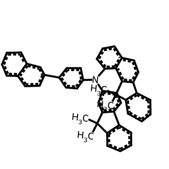 CC1(C)c2ccccc2-c2ccc(N(c3ccc(-c4ccc5ccccc5c4)cc3)c3cccc4ccc5c(c34)C(C)(C)c3ccccc3-5)cc21